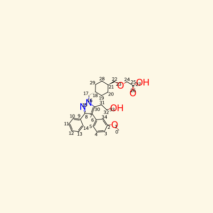 COc1cccc(-c2c(-c3ccccc3)nn(C[C@H]3CC[C@H](COCC(=O)O)CC3)c2CCO)c1